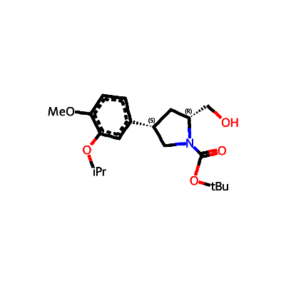 COc1ccc([C@@H]2C[C@H](CO)N(C(=O)OC(C)(C)C)C2)cc1OC(C)C